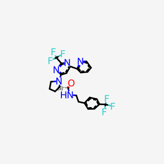 O=C(NCCc1ccc(C(F)(F)F)cc1)[C@@H]1CCCN1c1cc(-c2ccccn2)nc(C(F)(F)F)n1